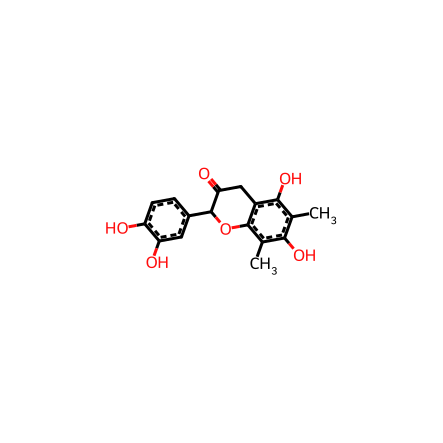 Cc1c(O)c(C)c2c(c1O)CC(=O)C(c1ccc(O)c(O)c1)O2